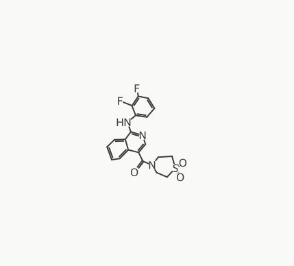 O=C(c1cnc(Nc2cccc(F)c2F)c2ccccc12)N1CCS(=O)(=O)CC1